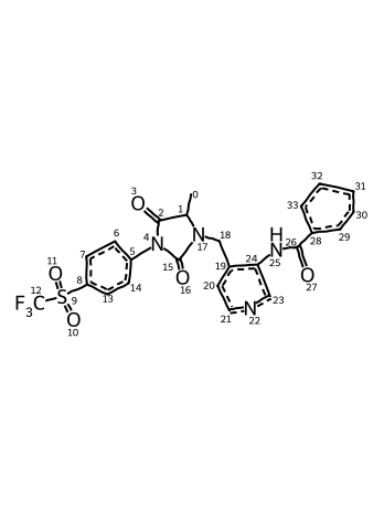 CC1C(=O)N(c2ccc(S(=O)(=O)C(F)(F)F)cc2)C(=O)N1Cc1ccncc1NC(=O)c1ccccc1